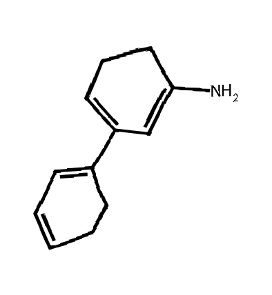 NC1=CC(C2=CC=CCC2)=CCC1